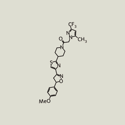 COc1ccc(C2CC(c3csc(C4CCN(C(=O)Cn5nc(C(F)(F)F)cc5C)CC4)n3)=NO2)cc1